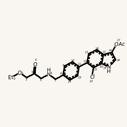 CCOCC(=O)CNCc1ccc(-c2ccc3c(OC(C)=O)c[nH]c3c2Cl)cc1